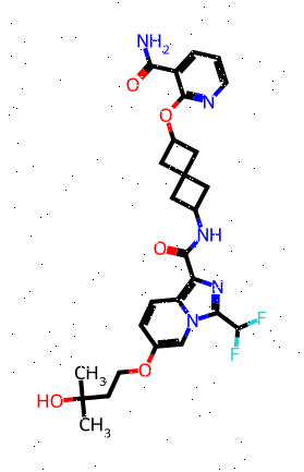 CC(C)(O)CCOc1ccc2c(C(=O)NC3CC4(C3)CC(Oc3ncccc3C(N)=O)C4)nc(C(F)F)n2c1